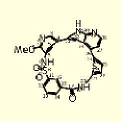 COc1ncc2cc1NS(=O)(=O)c1cccc(c1)C(=O)NCc1ccc(s1)-c1ccnc3[nH]c-2cc13